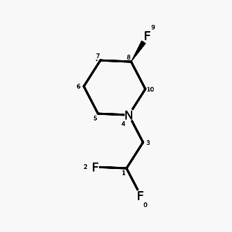 FC(F)CN1CC[CH][C@@H](F)C1